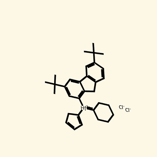 CC(C)(C)c1ccc2c(c1)-c1cc(C(C)(C)C)c[c]([Hf+2]([C]3=CC=CC3)=[C]3CCCCC3)c1C2.[Cl-].[Cl-]